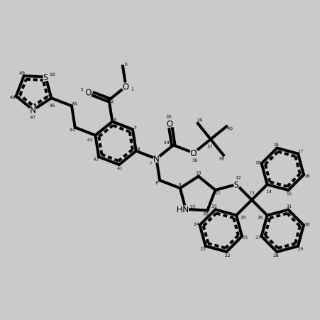 COC(=O)c1cc(N(CC2CC(SC(c3ccccc3)(c3ccccc3)c3ccccc3)CN2)C(=O)OC(C)(C)C)ccc1CCc1nccs1